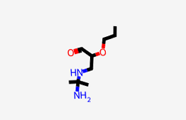 CCCOC(C=O)CNC(C)(C)N